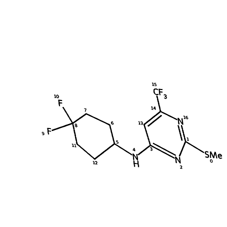 CSc1nc(NC2CCC(F)(F)CC2)cc(C(F)(F)F)n1